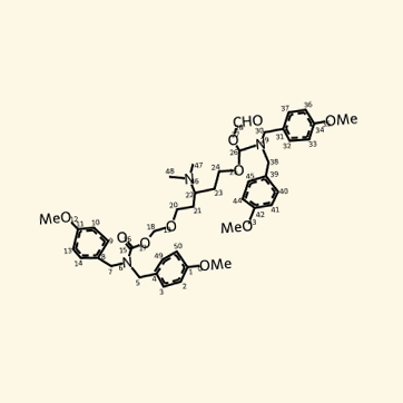 COc1ccc(CN(Cc2ccc(OC)cc2)C(=O)OCOCCC(CCOC(OC=O)N(Cc2ccc(OC)cc2)Cc2ccc(OC)cc2)N(C)C)cc1